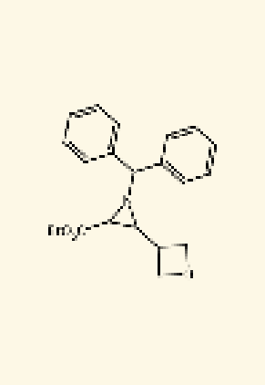 CCOC(=O)C1C(C2COC2)N1C(c1ccccc1)c1ccccc1